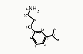 CC(C)c1cccc(OCCN)c1